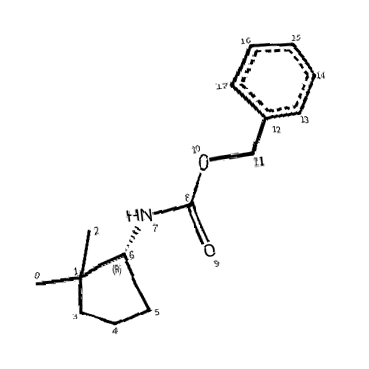 CC1(C)CCC[C@H]1NC(=O)OCc1ccccc1